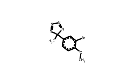 COc1ccc(C2(C)N=NN=N2)cc1Br